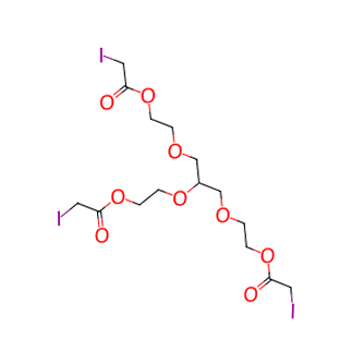 O=C(CI)OCCOCC(COCCOC(=O)CI)OCCOC(=O)CI